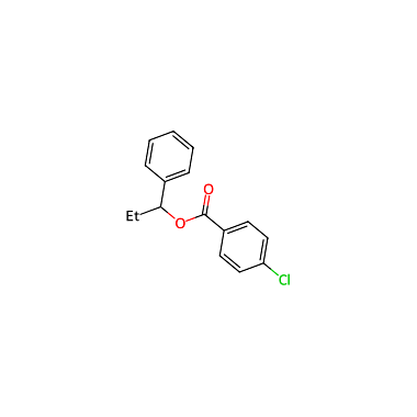 CCC(OC(=O)c1ccc(Cl)cc1)c1ccccc1